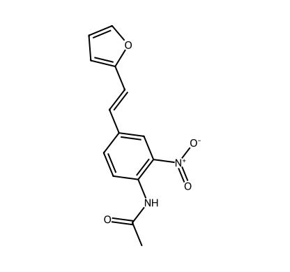 CC(=O)Nc1ccc(/C=C/c2ccco2)cc1[N+](=O)[O-]